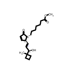 COC(=O)CCCCCC[C@H]1C(=O)C=C[C@@H]1/C=C/[C@@H](O)C1(C)CCC1